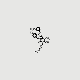 Cc1cccc(COc2nc3c(n2Cc2ccc(Cl)cc2)C(=O)N(CCOCCO)C(O)N3C)c1